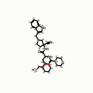 CCOC(=O)/N=C(\NC(CC1CCCCC1)C(=O)NC1(C#N)CCN(Cc2c[nH]c3ccccc23)C1)N1CCOCC1